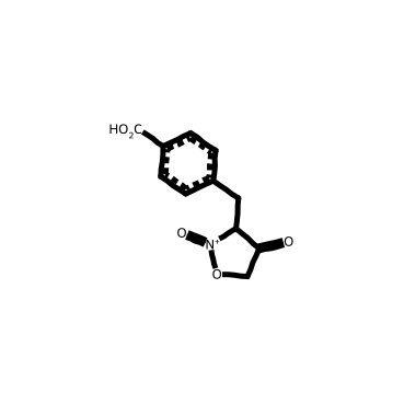 O=C(O)c1ccc(CC2C(=O)CO[N+]2=O)cc1